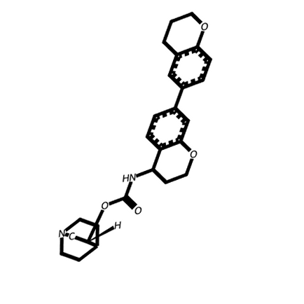 O=C(NC1CCOc2cc(-c3ccc4c(c3)CCCO4)ccc21)O[C@H]1CN2CCC1CC2